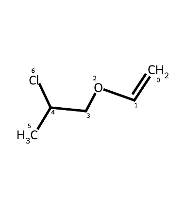 C=COCC(C)Cl